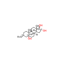 CC(=O)O[C@H]1CC[C@]2(C)[C@H]3CC[C@]4(C)[C@@H](O)[C@H](O)C[C@H]4[C@@H]3CC[C@]2(O)C1